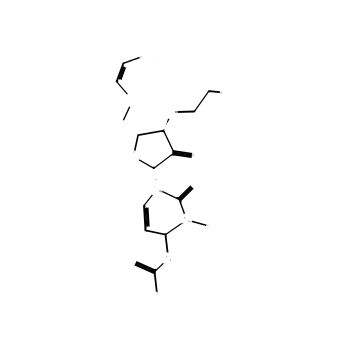 C/C=C\OC[C@H]1O[C@@H](N2C=CC(NC(C)=O)N(C)C2=O)C(=O)[C@@H]1OCCC